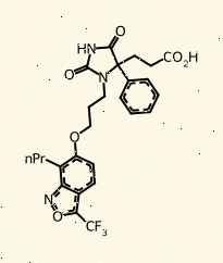 CCCc1c(OCCCN2C(=O)NC(=O)C2(CCC(=O)O)c2ccccc2)ccc2c(C(F)(F)F)onc12